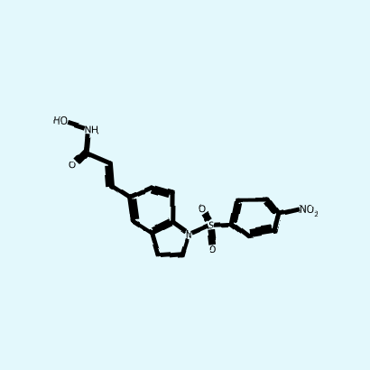 O=C(C=Cc1ccc2c(c1)CCN2S(=O)(=O)c1ccc([N+](=O)[O-])cc1)NO